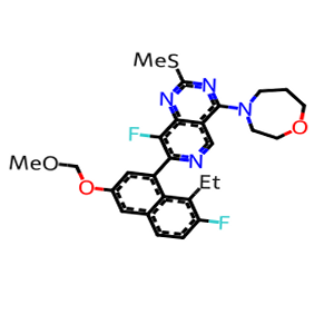 CCc1c(F)ccc2cc(OCOC)cc(-c3ncc4c(N5CCCOCC5)nc(SC)nc4c3F)c12